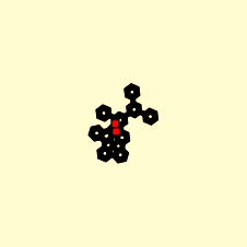 c1ccc(-c2cc(-c3ccccc3)cc(-c3cc(-c4ccccc4)nc(-c4ccc5c(c4)C4(c6ccccc6-5)c5ccccc5-c5c4c4ccccc4c4ccccc54)c3)c2)cc1